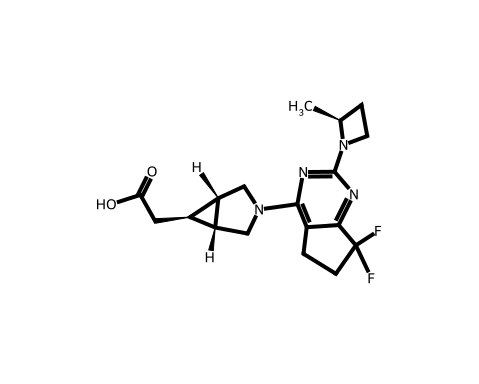 C[C@H]1CCN1c1nc(N2C[C@@H]3[C@@H](CC(=O)O)[C@@H]3C2)c2c(n1)C(F)(F)CC2